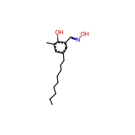 CCCCCCCCCc1cc(C)c(O)c(C=NO)c1